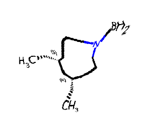 BN1C[C@@H](C)[C@@H](C)C1